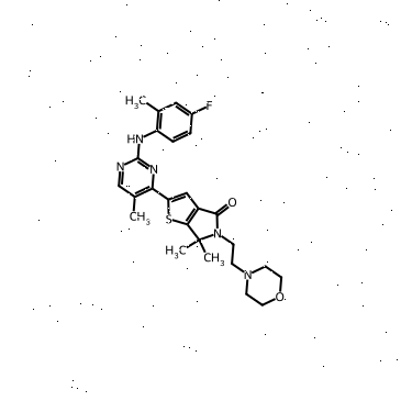 Cc1cc(F)ccc1Nc1ncc(C)c(-c2cc3c(s2)C(C)(C)N(CCN2CCOCC2)C3=O)n1